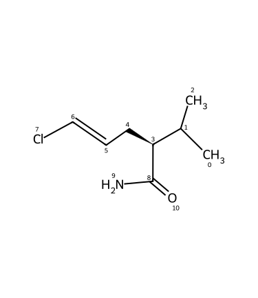 CC(C)[C@H](CC=CCl)C(N)=O